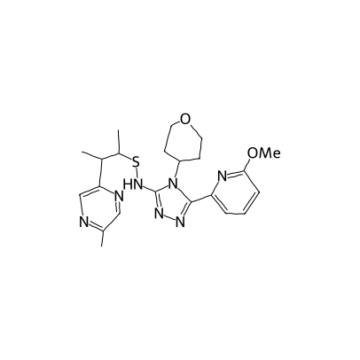 COc1cccc(-c2nnc(NSC(C)C(C)c3cnc(C)cn3)n2C2CCOCC2)n1